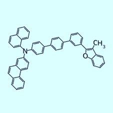 Cc1c(-c2cccc(-c3ccc(-c4ccc(N(c5ccc6c(ccc7ccccc76)c5)c5cccc6ccccc56)cc4)cc3)c2)oc2ccccc12